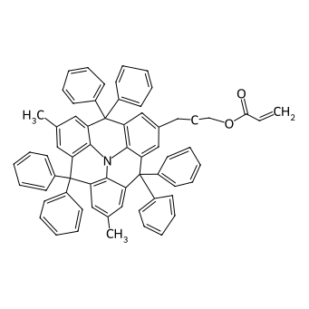 C=CC(=O)OCCCc1cc2c3c(c1)C(c1ccccc1)(c1ccccc1)c1cc(C)cc4c1N3c1c(cc(C)cc1C2(c1ccccc1)c1ccccc1)C4(c1ccccc1)c1ccccc1